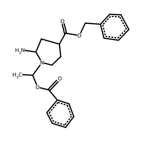 CC(OC(=O)c1ccccc1)N1CCC(C(=O)OCc2ccccc2)CC1N